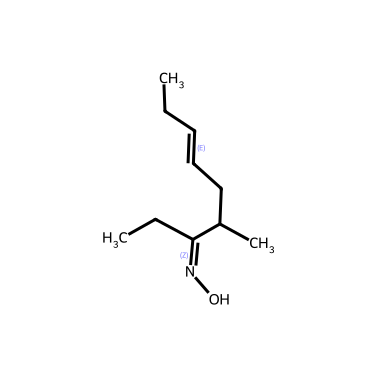 CC/C=C/CC(C)/C(CC)=N\O